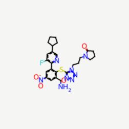 NC(=O)c1cc([N+](=O)[O-])cc(-c2ncc(C3CCCC3)cc2F)c1Sc1nnnn1CCCN1CCCC1=O